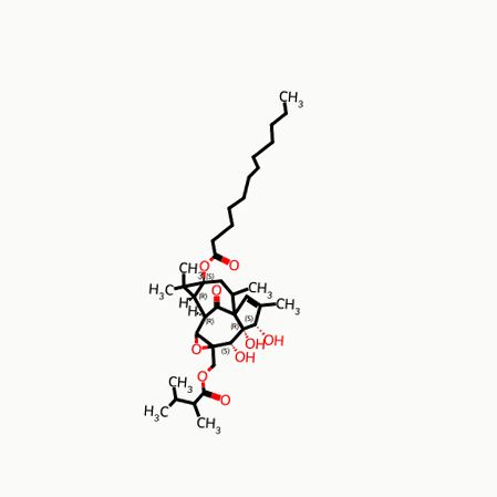 CCCCCCCCCCCC(=O)O[C@@]12CC(C)C34C=C(C)[C@H](O)[C@@]3(O)[C@H](O)C3(COC(=O)C(C)C(C)C)OC3[C@H](C4=O)[C@@H]1C2(C)C